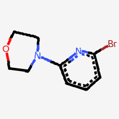 Brc1cccc(N2CCOCC2)n1